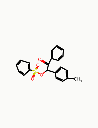 Cc1ccc(C(OS(=O)(=O)c2ccccc2)C(=O)c2ccccc2)cc1